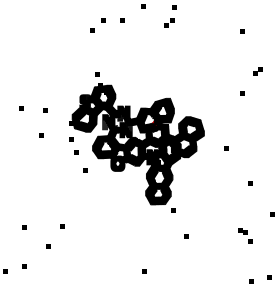 c1cc(-c2cc3c(cc2-n2c4ccccc4c4cc5ccccc5cc42)oc2cccc(-c4nc(-c5ccc6ccccc6c5)nc(-c5cccc6sc7ccccc7c56)n4)c23)cc(-c2cccc3ccccc23)c1